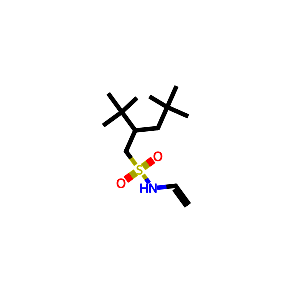 C=CNS(=O)(=O)CC(CC(C)(C)C)C(C)(C)C